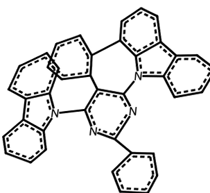 c1ccc(-c2nc(-n3c4ccccc4c4ccccc43)c3c(n2)-n2c4ccccc4c4cccc(c42)-c2ccccc2-3)cc1